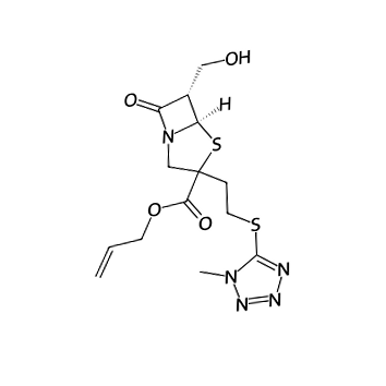 C=CCOC(=O)C1(CCSc2nnnn2C)CN2C(=O)[C@H](CO)[C@H]2S1